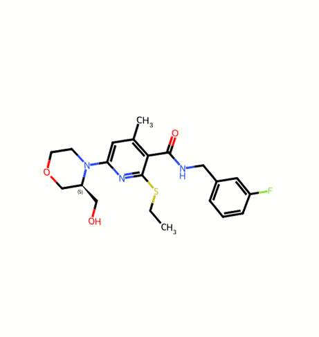 CCSc1nc(N2CCOC[C@@H]2CO)cc(C)c1C(=O)NCc1cccc(F)c1